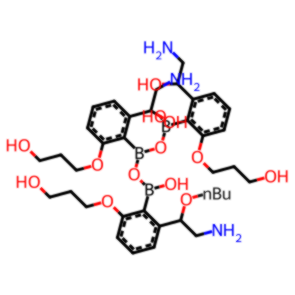 CCCCOC(CN)c1cccc(OCCCO)c1B(O)OB(OB(O)c1c(OCCCO)cccc1C(O)CN)c1c(OCCCO)cccc1C(O)CN